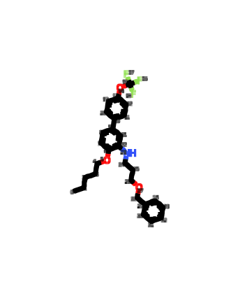 CCCCCOc1ccc(-c2ccc(OC(F)(F)F)cc2)cc1NCCCOCc1ccccc1